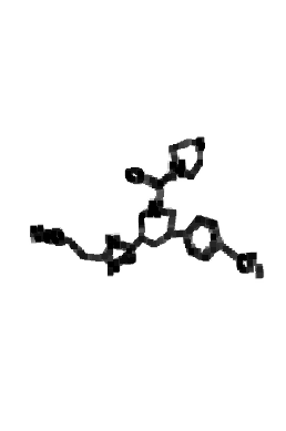 COCCc1noc(C2CC(c3ccc(C(F)(F)F)cc3)CN(C(=O)N3CCSCC3)C2)n1